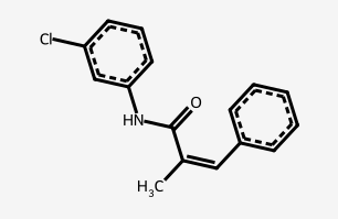 CC(=Cc1ccccc1)C(=O)Nc1cccc(Cl)c1